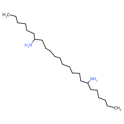 CCCCCCC(N)CCCCCCCCCCC(N)CCCCCC